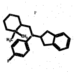 C[N+]1(C)CCCCC1CN(c1ccc(F)cc1)C1Cc2ccccc2C1.[I-]